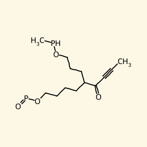 CC#CC(=O)C(CCCCOP=O)CCCOPC